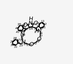 O=C1NC(=O)C2=C1c1cn(c3ccccc13)CCOCCOCCN(Cc1ccccc1)CCn1cc2c2ccccc21